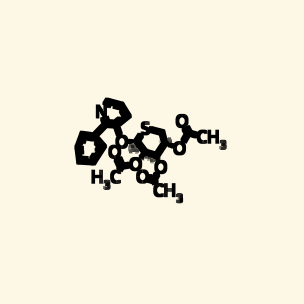 CC(=O)O[C@@H]1[C@@H](OC(C)=O)[C@@H](Oc2cccnc2-c2ccccc2)SC[C@H]1OC(C)=O